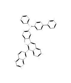 c1ccc(-c2ccc(N(c3ccccc3)c3ccc4oc5c(-c6ccc7ccccc7c6)c6ccccc6cc5c4c3)cc2)cc1